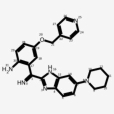 N=C(c1nc2ccc(N3CCCCC3)cc2[nH]1)c1cc(OCc2ccncc2)ccc1N